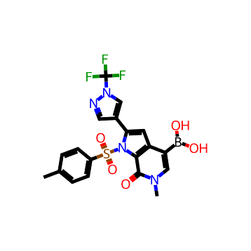 Cc1ccc(S(=O)(=O)n2c(-c3cnn(C(F)(F)F)c3)cc3c(B(O)O)cn(C)c(=O)c32)cc1